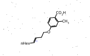 CCCCCC/C=C/CCOc1ccc(C(=O)O)c(C)c1